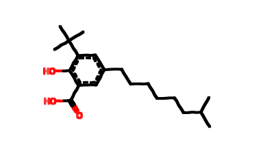 CC(C)CCCCCCc1cc(C(=O)O)c(O)c(C(C)(C)C)c1